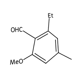 CCc1cc(C)cc(OC)c1C=O